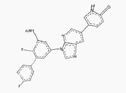 CC(=O)Nc1cc(-n2cnc3cc(-c4ccc(=O)[nH]c4)cnc32)cc(-c2ccc(F)cc2)c1F